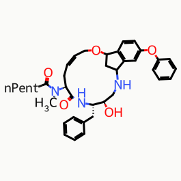 CCCCCC(=O)N(C)[C@H]1CC=CCOC2CC(NC[C@@H](O)[C@H](Cc3ccccc3)NC1=O)c1cc(Oc3ccccc3)ccc12